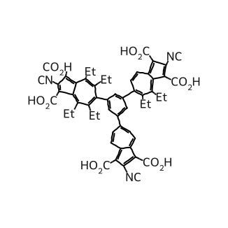 [C-]#[N+]c1c(C(=O)O)c2ccc(-c3cc(-c4ccc5c(C(=O)O)c([N+]#[C-])c(C(=O)O)c-5c(CC)c4CC)cc(-c4c(CC)c(CC)c5c(C(=O)O)c([N+]#[C-])c(C(=O)O)c-5c(CC)c4CC)c3)ccc-2c1C(=O)O